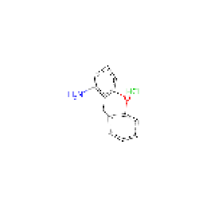 Cl.Nc1cccc2c1Cc1ccccc1O2